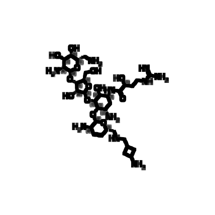 N=C(N)NCC[C@H](O)C(=O)N[C@@H]1C[C@H](N)[C@@H](O[C@H]2O[C@H](CNCC3CC(N)C3)C=C[C@H]2N)[C@H](O[C@@H]2O[C@H](CO)[C@@H](O[C@H]3O[C@@H](CN)[C@@H](O)[C@H](O)[C@H]3N)[C@H]2O)[C@H]1O